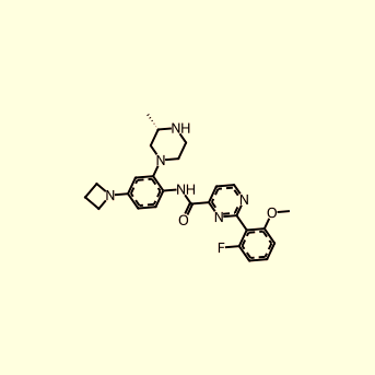 COc1cccc(F)c1-c1nccc(C(=O)Nc2ccc(N3CCC3)cc2N2CCN[C@@H](C)C2)n1